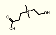 C[N+](C)(CCO)CCC(=O)O